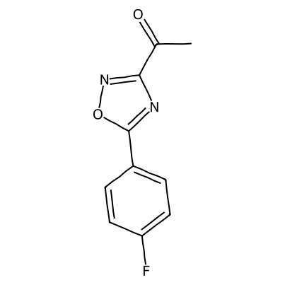 CC(=O)c1noc(-c2ccc(F)cc2)n1